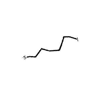 [S]CCCCI